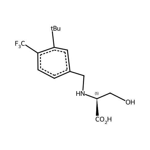 CC(C)(C)c1cc(CN[C@@H](CO)C(=O)O)ccc1C(F)(F)F